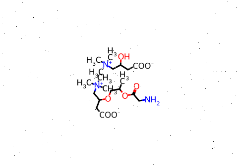 CC(COC(CC(=O)[O-])C[N+](C)(C)C)OC(=O)CN.C[N+](C)(C)CC(O)CC(=O)[O-]